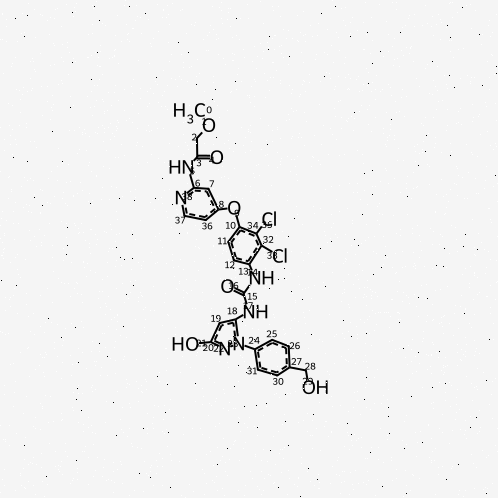 COCC(=O)Nc1cc(Oc2ccc(NC(=O)Nc3cc(O)nn3-c3ccc(CO)cc3)c(Cl)c2Cl)ccn1